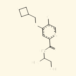 CC(CO)NC(=O)c1cc(OCC2CCC2)c(Cl)cn1